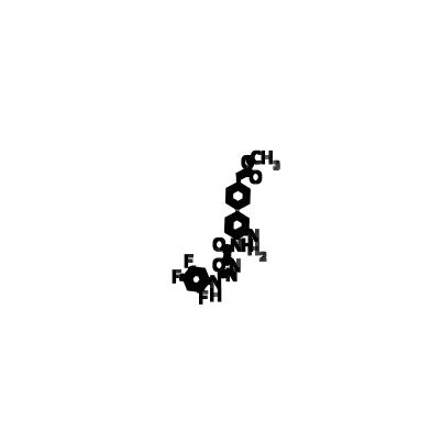 COC(=O)C[C@H]1CC[C@H](C2C=CC(NC(=O)c3nnc(Nc4cc(F)c(F)cc4F)o3)=C(N)C2)CC1